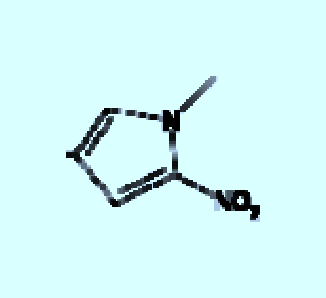 Cn1c[c]cc1[N+](=O)[O-]